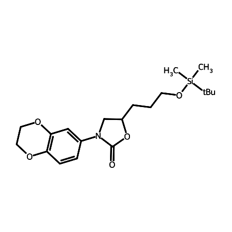 CC(C)(C)[Si](C)(C)OCCCC1CN(c2ccc3c(c2)OCCO3)C(=O)O1